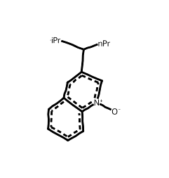 CCCC([C](C)C)c1cc2ccccc2[n+]([O-])c1